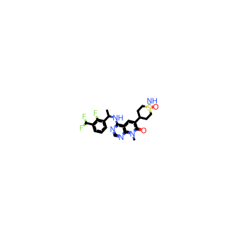 CC(Nc1ncnc2c1cc(C1CCS(=N)(=O)CC1)c(=O)n2C)c1cccc(C(F)F)c1F